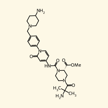 COC(=O)[C@@H]1CN(C(=O)C(C)(C)N)CCN1C(=O)Nc1ccn(-c2ccc(CN3CCC(N)CC3)cc2)c(=O)c1